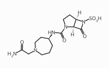 NC(=O)CN1CCC[C@H](NC(=O)N2CC[C@@H]3[C@H]2C(=O)N3S(=O)(=O)O)CC1